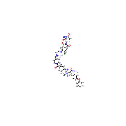 NC(=O)c1c(-c2ccc(Oc3ccccc3)cc2)nn2c1Nc1ccc(C(=O)N3CCC(CN4CCN(c5cc6c(cc5F)C(=O)N(C5CCC(=O)NC5=O)C6=O)CC4)CC3)cc1CC2